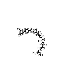 Cn1cc(NC(=O)c2cc(NC(=O)c3cc(NC(=O)c4ccc(N(CCCl)CCCl)cc4)cn3C)cn2C)cc1C(=O)NCCC(N)=NO